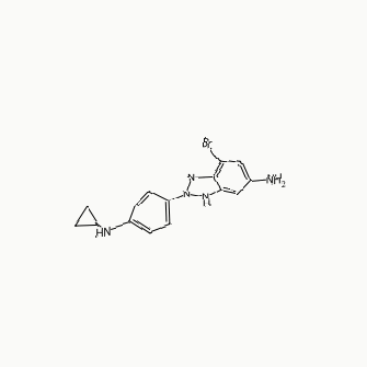 Nc1cc(Br)c2c(c1)NN(c1ccc(NC3CC3)cc1)[N]2